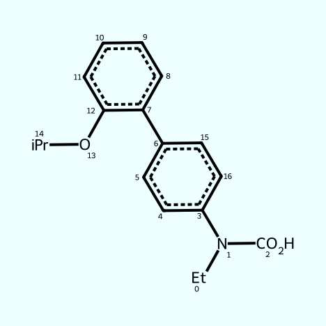 CCN(C(=O)O)c1ccc(-c2ccccc2OC(C)C)cc1